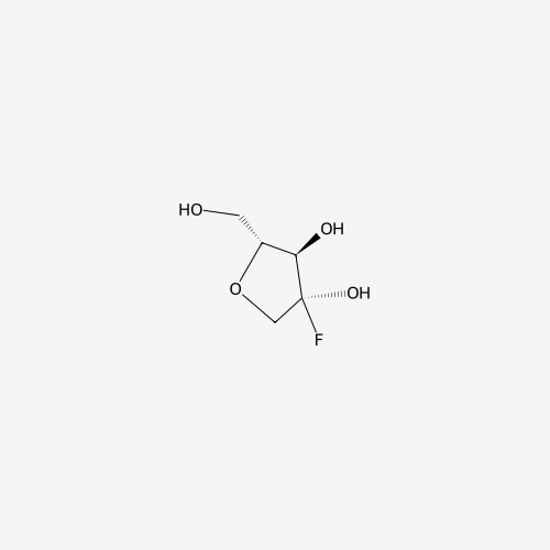 OC[C@H]1OC[C@](O)(F)[C@@H]1O